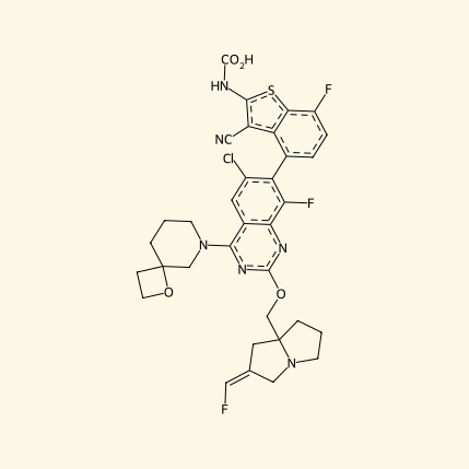 N#Cc1c(NC(=O)O)sc2c(F)ccc(-c3c(Cl)cc4c(N5CCCC6(CCO6)C5)nc(OCC56CCCN5C/C(=C\F)C6)nc4c3F)c12